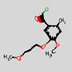 COCCCOc1cc(C(=O)Cl)c(C)cc1OC